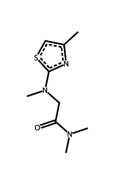 Cc1csc(N(C)CC(=O)N(C)C)n1